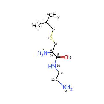 CC(C)CSC[C@H](N)C(=O)NCCN